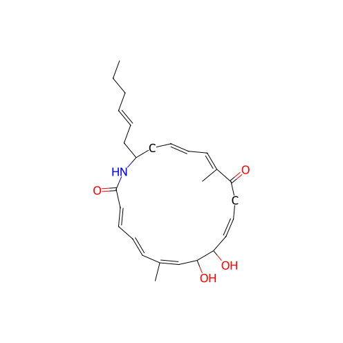 CCC/C=C/CC1C/C=C/C=C(\C)C(=O)C/C=C\C(O)C(O)\C=C(C)/C=C/C=C/C(=O)N1